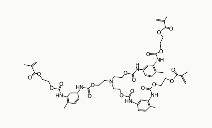 C=C(C)C(=O)OCCOC(=O)Nc1cc(NC(=O)OCCN(CCOC(=O)Nc2ccc(C)c(NC(=O)OCCOC(=O)C(=C)C)c2)CCOC(=O)Nc2ccc(C)c(NC(=O)OCCOC(=O)C(=C)C)c2)ccc1C